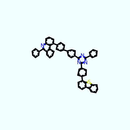 c1ccc(-c2nc(-c3ccc(-c4ccc(-c5cccc6nc(-c7ccccc7)c7ccccc7c56)cc4)cc3)nc(-c3ccc(-c4cccc5c4sc4ccccc45)cc3)n2)cc1